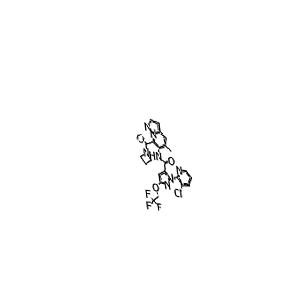 Cc1cc2ccnn2c(C(=O)N2CCC2)c1NC(=O)c1cc(OCC(F)(F)F)nn1-c1ncccc1Cl